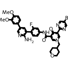 COc1ccc(-c2cnc(N)c(-c3ccc(NC(=O)c4cn(CC5CCOCC5)cc(-c5ncc(Br)cn5)c4=O)cc3F)c2)cc1OC